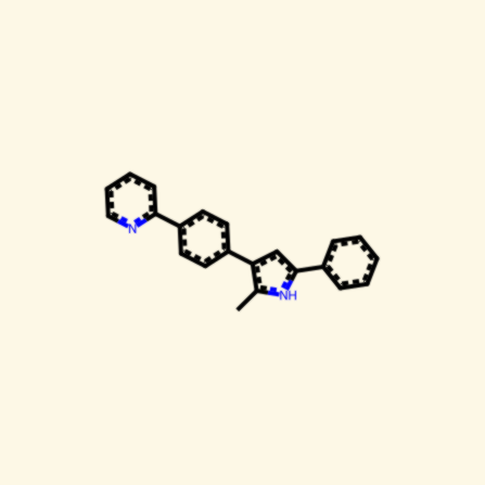 Cc1[nH]c(-c2ccccc2)cc1-c1ccc(-c2ccccn2)cc1